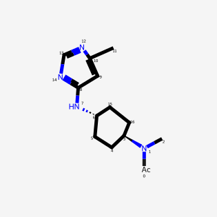 CC(=O)N(C)[C@H]1CC[C@H](Nc2cc(C)ncn2)CC1